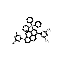 Cc1nc(-c2ccc3ccc4c(-c5nc(C(F)(F)F)nc(C(F)(F)F)n5)cc([Si](c5ccccc5)(c5ccccc5)c5ccccc5)c5ccc2c3c45)nc(C(F)(F)F)n1